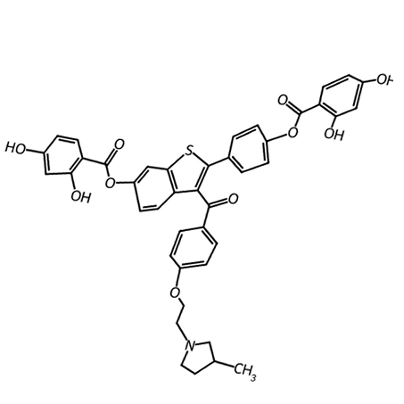 CC1CCN(CCOc2ccc(C(=O)c3c(-c4ccc(OC(=O)c5ccc(O)cc5O)cc4)sc4cc(OC(=O)c5ccc(O)cc5O)ccc34)cc2)C1